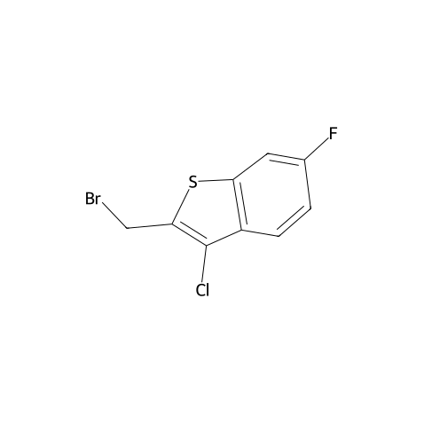 Fc1ccc2c(Cl)c(CBr)sc2c1